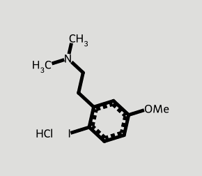 COc1ccc(I)c(CCN(C)C)c1.Cl